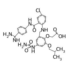 CC(C)COc1cc(NS(N)(=O)=O)cc(CNc2ccc(Cl)cc2C(=O)Nc2ccc(C(=N)N)cc2)c1OCC(=O)O